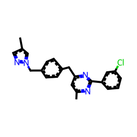 Cc1cnn(Cc2ccc(Cc3cc(C)nc(-c4cccc(Cl)c4)n3)cc2)c1